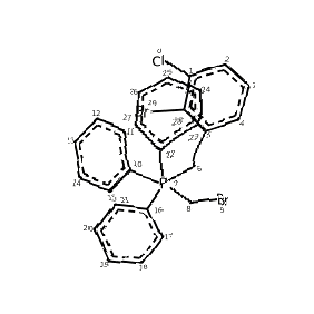 Clc1cccc(CP(CBr)(c2ccccc2)(c2ccccc2)c2ccccc2)c1Br